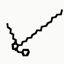 CCCCCCCCCCCCCCCCCCC1N(CCCCCCC)C=CN1Cc1ccccc1